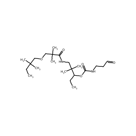 CCC(OC(=O)NCCC=O)C(C)(C)CNC(=O)C(C)(C)COCC(C)(C)CC